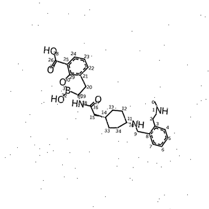 CNCc1ccccc1CN[C@H]1CC[C@H](CC(=O)N[C@H]2Cc3cccc(C(=O)O)c3OB2O)CC1